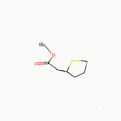 CC(C)(C)OC(=O)CC1CCCS1